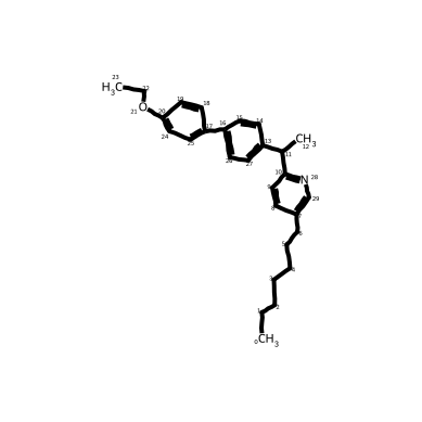 CCCCCCCc1ccc(C(C)c2ccc(-c3ccc(OCC)cc3)cc2)nc1